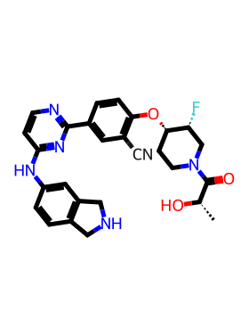 C[C@H](O)C(=O)N1CC[C@H](Oc2ccc(-c3nccc(Nc4ccc5c(c4)CNC5)n3)cc2C#N)[C@H](F)C1